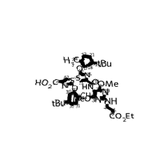 CCOC(=O)CCNc1nc(OC)c(NC(=O)c2csc(Oc3cc(C(C)(C)C)ccc3C)n2)c(OC)n1.Cc1ccc(C(C)(C)C)cc1Oc1nc(C(=O)O)cs1